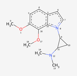 COc1ccc2ccn(C3CC3N(C)C)c2c1OC